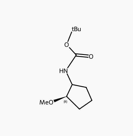 CO[C@@H]1CCCC1NC(=O)OC(C)(C)C